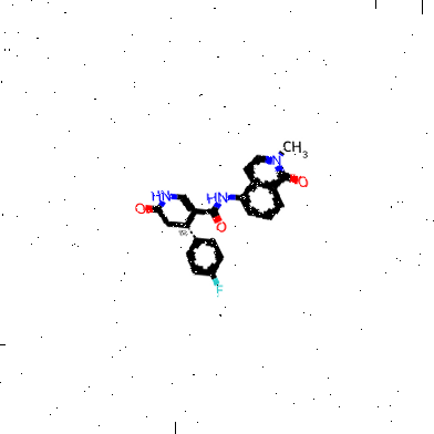 Cn1ccc2c(NC(=O)C3=CNC(=O)C[C@H]3c3ccc(F)cc3)cccc2c1=O